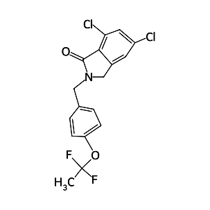 CC(F)(F)Oc1ccc(CN2Cc3cc(Cl)cc(Cl)c3C2=O)cc1